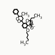 CCCCCOc1ccc(C(=O)CC(C)C(=O)c2ccccc2)c(OC(=O)CCC)c1[N+](=O)[O-]